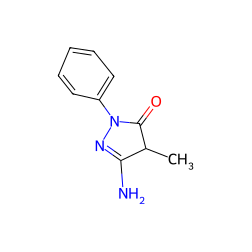 CC1C(=O)N(c2ccccc2)N=C1N